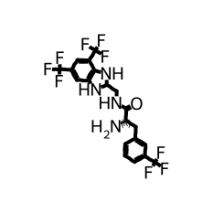 N[C@H](Cc1cccc(C(F)(F)F)c1)C(=O)NCC1Nc2cc(C(F)(F)F)cc(C(F)(F)F)c2N1